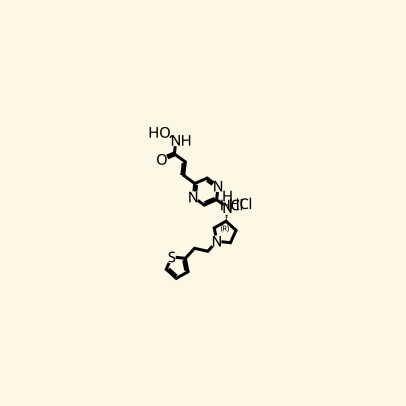 Cl.Cl.O=C(C=Cc1cnc(N[C@@H]2CCN(CCc3cccs3)C2)cn1)NO